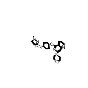 Cn1ccc(N[C@H]2CC[C@@H](Oc3nc(N4CCOCC4)cc4ncccc34)CC2)n1